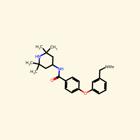 CNCc1cccc(Oc2ccc(C(=O)NC3CC(C)(C)NC(C)(C)C3)cc2)c1